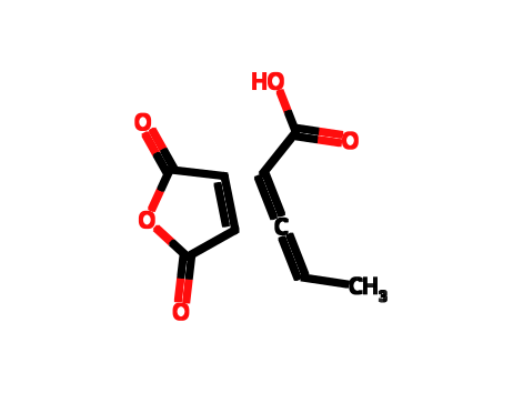 CC=C=CC(=O)O.O=C1C=CC(=O)O1